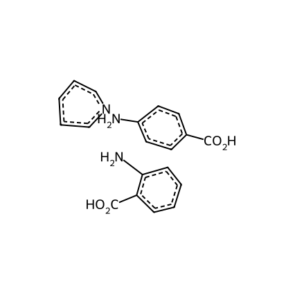 Nc1ccc(C(=O)O)cc1.Nc1ccccc1C(=O)O.c1ccncc1